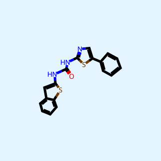 O=C(Nc1cc2ccccc2s1)Nc1ncc(-c2ccccc2)s1